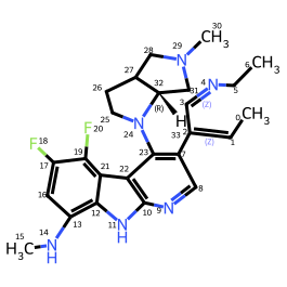 C/C=C(\C=N/CC)c1cnc2[nH]c3c(NC)cc(F)c(F)c3c2c1N1CCC2CN(C)C[C@@H]21